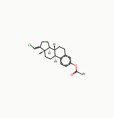 CCCC(=O)Oc1ccc2c(c1)CC[C@@H]1[C@@H]2CC[C@]2(C)C(=CCl)CC[C@@H]12